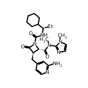 CC[C@@H](NC(=O)N1C(=O)[C@H](Cc2ccnc(N)c2)[C@H]1C(=O)N(C)c1nccn1C)C1CCCCC1